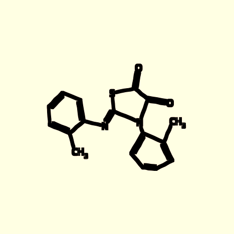 Cc1ccccc1N=C1SC(=O)C(=O)N1c1ccccc1C